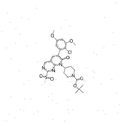 COc1cc(OC)c(Cl)c(-c2cc3cnc(S(C)(=O)=O)nc3n(C3CCN(C(=O)OC(C)(C)C)CC3)c2=O)c1